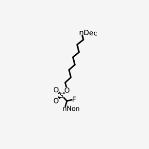 CCCCCCCCCCCCCCCCCCOS(=O)(=O)C(F)CCCCCCCCC